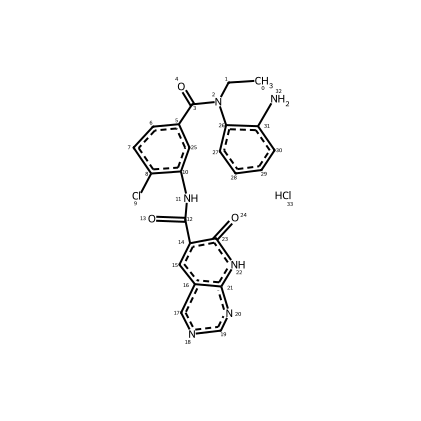 CCN(C(=O)c1ccc(Cl)c(NC(=O)c2cc3cncnc3[nH]c2=O)c1)c1ccccc1N.Cl